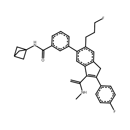 C=C(NC)C1=C(c2ccc(F)cc2)Cc2cc(CCCF)c(-c3cccc(C(=O)NC45CC(C4)C5)c3)cc21